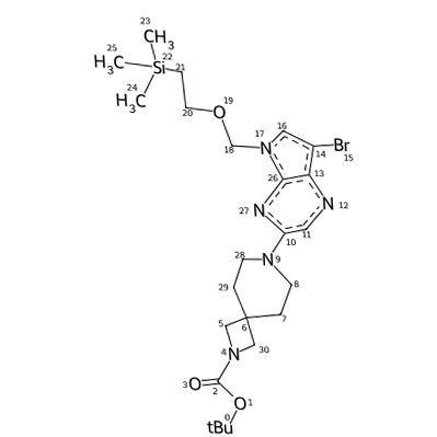 CC(C)(C)OC(=O)N1CC2(CCN(c3cnc4c(Br)cn(COCC[Si](C)(C)C)c4n3)CC2)C1